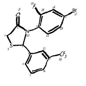 O=C1CSC(c2cccc(C(F)(F)F)c2)N1c1ccc(Br)cc1F